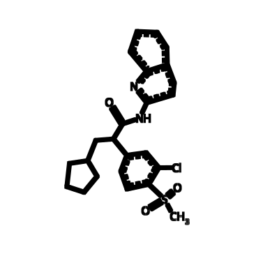 CS(=O)(=O)c1ccc(C(CC2CCCC2)C(=O)Nc2ccc3ccccc3n2)cc1Cl